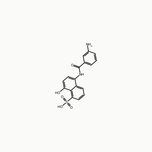 Nc1cccc(C(=O)Nc2ccc(O)c3c(S(=O)(=O)O)cccc23)c1